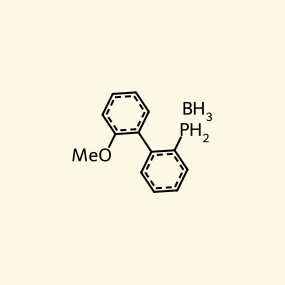 B.COc1ccccc1-c1ccccc1P